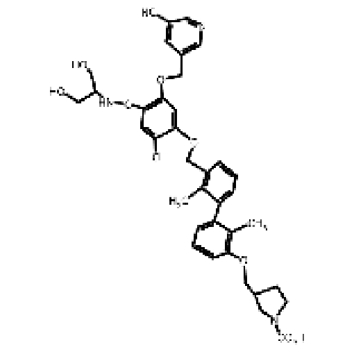 Cc1c(COc2cc(OCc3cncc(C#N)c3)c(CNC(CO)CO)cc2Cl)cccc1-c1cccc(OCC2CCN(C(=O)O)C2)c1C